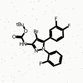 CC(C)(C)OC(=O)Nc1nn(-c2ccccc2F)c(-c2ccc(F)c(F)c2)c1Br